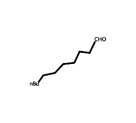 CCCCCCCC[CH]CC=O